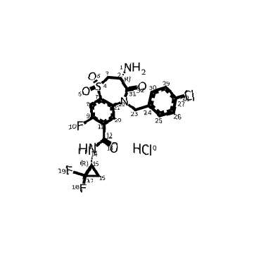 Cl.N[C@H]1CS(=O)(=O)c2cc(F)c(C(=O)N[C@@H]3CC3(F)F)cc2N(Cc2ccc(Cl)cc2)C1=O